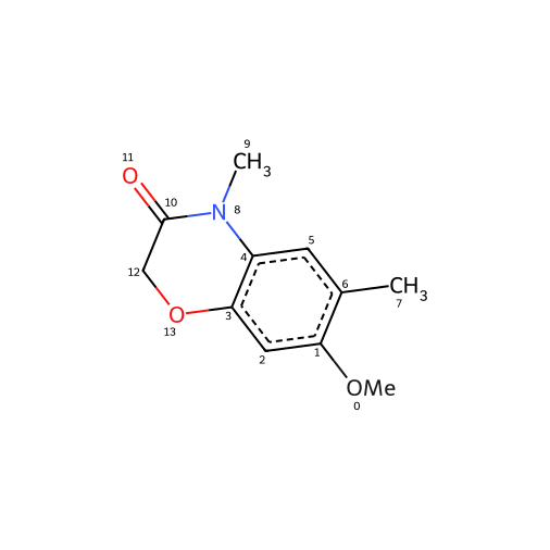 COc1cc2c(cc1C)N(C)C(=O)CO2